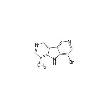 Cc1cncc2c1[nH]c1c(Br)cncc12